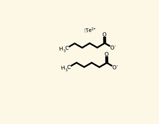 CCCCCC(=O)[O-].CCCCCC(=O)[O-].[Te+2]